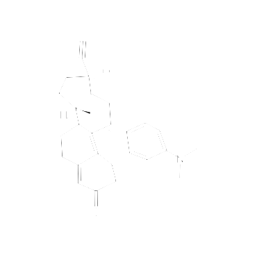 C#C[C@]1(O)CC[C@H]2[C@@H]3CCC4=CC(=O)CCC4=C3[C@@H](c3ccc(N(C)C)cc3)C[C@@]21C